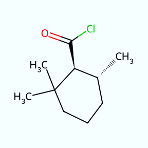 C[C@@H]1CCCC(C)(C)[C@H]1C(=O)Cl